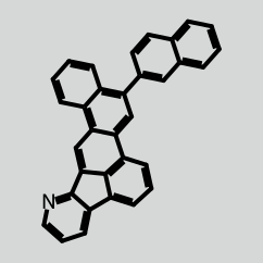 c1cnc2c(c1)-c1cccc3c1c-2cc1c2ccccc2c(-c2ccc4ccccc4c2)cc31